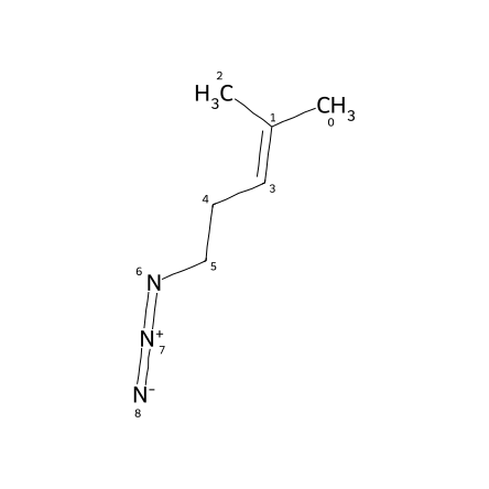 CC(C)=CCCN=[N+]=[N-]